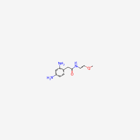 COCCNC(=O)Cc1ccc(N)cc1N